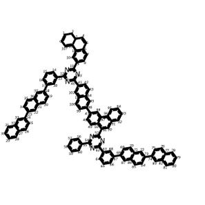 C1=CCC2C=Cc3ccc(-c4nc(-c5cccc(-c6ccc7cc(-c8ccc9ccccc9c8)ccc7c6)c5)nc(-c5ccc6cc(-c7ccc8c(-c9nc(-c%10ccccc%10)nc(-c%10cccc(-c%11ccc%12cc(-c%13ccc%14ccccc%14c%13)ccc%12c%11)c%10)n9)cc9ccccc9c8c7)ccc6c5)n4)cc3C2=C1